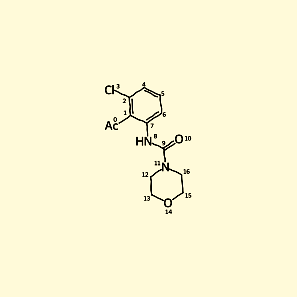 CC(=O)c1c(Cl)cccc1NC(=O)N1CCOCC1